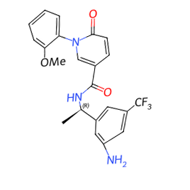 COc1ccccc1-n1cc(C(=O)N[C@H](C)c2cc(N)cc(C(F)(F)F)c2)ccc1=O